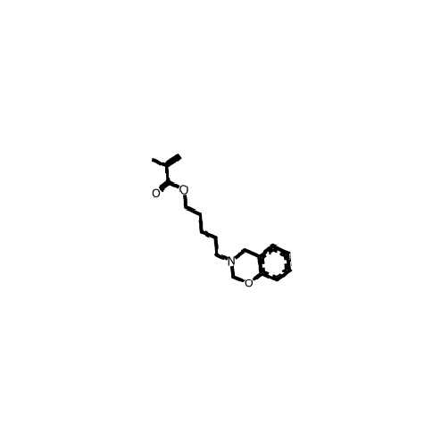 C=C(C)C(=O)OCCCCCN1COc2ccccc2C1